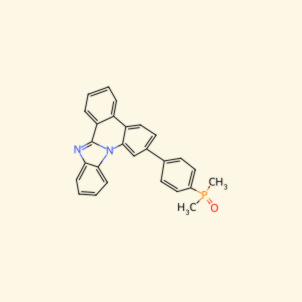 CP(C)(=O)c1ccc(-c2ccc3c4ccccc4c4nc5ccccc5n4c3c2)cc1